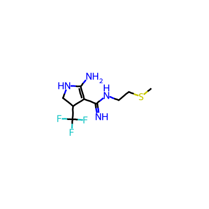 CSCCNC(=N)C1=C(N)NCC1C(F)(F)F